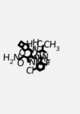 CC(C)c1cnc(-c2cc(Cl)ccc2F)nc1NC(=C1CC2CCC2C1)c1c(C(=O)C(N)=O)c[nH]c1N